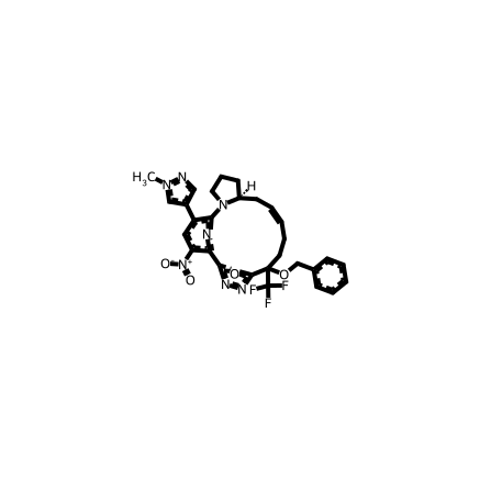 Cn1cc(-c2cc([N+](=O)[O-])c3nc2N2CCC[C@H]2CC=CCCC(OCc2ccccc2)(C(F)(F)F)c2nnc-3o2)cn1